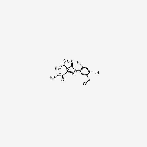 COC(=O)c1nn(-c2cc(SCl)c(C)cc2F)c(=O)n1C(C)C